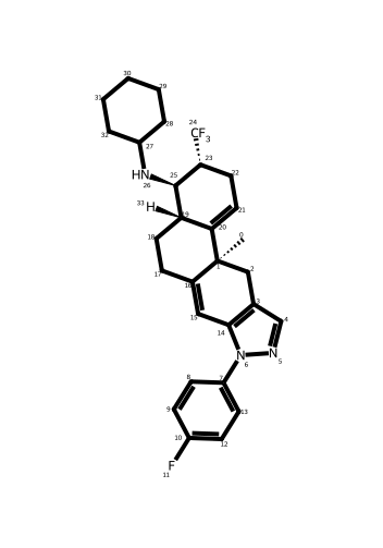 C[C@]12Cc3cnn(-c4ccc(F)cc4)c3C=C1CC[C@H]1C2=CC[C@@H](C(F)(F)F)[C@@H]1NC1CCCCC1